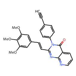 C#Cc1ccc(-n2c(/C=C/c3cc(OC)c(OC)c(OC)c3)nc3ncccc3c2=O)cc1